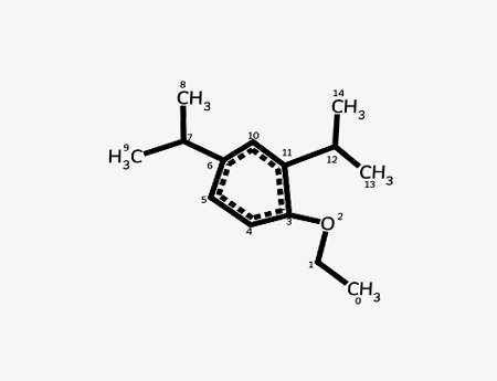 CCOc1ccc(C(C)C)cc1C(C)C